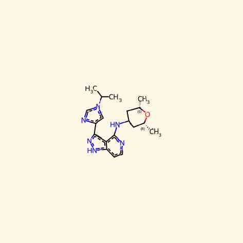 CC(C)n1cnc(-c2n[nH]c3ccnc(NC4C[C@@H](C)O[C@@H](C)C4)c23)c1